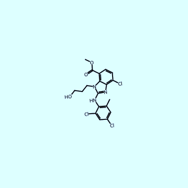 COC(=O)c1ccc(Cl)c2nc(Nc3c(C)cc(Cl)cc3Cl)n(CCCO)c12